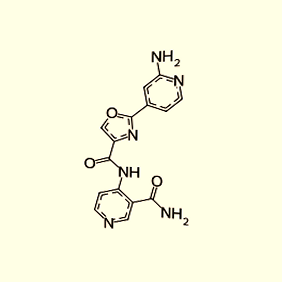 NC(=O)c1cnccc1NC(=O)c1coc(-c2ccnc(N)c2)n1